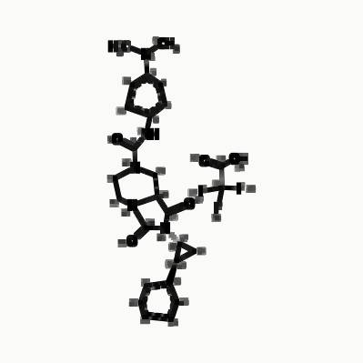 CN(C)c1ccc(NC(=O)N2CCN3C(=O)N([C@@H]4C[C@H]4c4ccccc4)C(=O)C3C2)cc1.O=C(O)C(F)(F)F